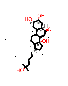 CC(C)(O)CCCC[C@H]1CC[C@@]2(O)C3=CC(=O)[C@@H]4C[C@@H](O)[C@@H](O)C[C@]4(C)C3CC[C@]12C